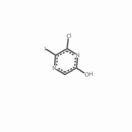 Oc1cnc(I)c(Cl)n1